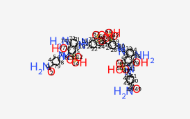 NC(=O)c1ccc(N=Nc2c(S(=O)(=O)O)cc3c(N=Nc4ccc(/C=C/c5ccc(N=Nc6ccc(N)c7c(O)c(N=Nc8ccc(C(N)=O)cc8)c(S(=O)(=O)O)cc67)cc5S(=O)(=O)O)c(S(=O)(=O)O)c4)ccc(N)c3c2O)cc1